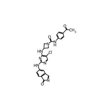 CC(=O)c1ccc(NC(=O)N2CC(Nc3nc(Nc4ccc5c(c4)C=NC5=O)ncc3Cl)C2)cc1